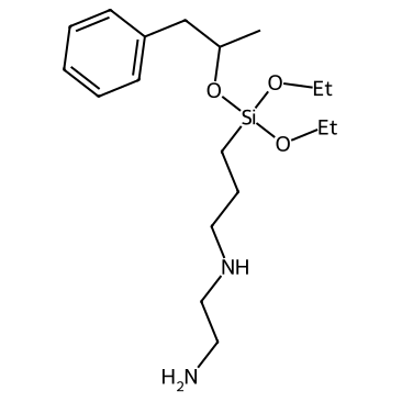 CCO[Si](CCCNCCN)(OCC)OC(C)Cc1ccccc1